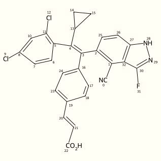 N#Cc1c(C(=C(c2ccc(Cl)cc2Cl)C2CC2)c2ccc(C=CC(=O)O)cc2)ccc2[nH]nc(F)c12